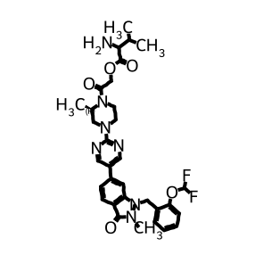 CC(C)C(N)C(=O)OCC(=O)N1CCN(c2ncc(-c3ccc4c(=O)n(C)n(Cc5ccccc5OC(F)F)c4c3)cn2)C[C@H]1C